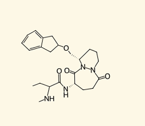 CCC(NC)C(=O)N[C@H]1CCC(=O)N2CCC[C@@H](COC3Cc4ccccc4C3)N2C1=O